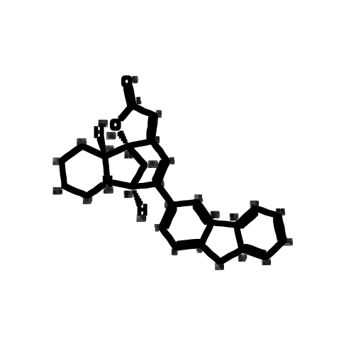 O=C1C=C2C=C(c3ccc4c(c3)-c3ccccc3C4)[C@@H]3C[C@@]2(O1)[C@H]1CCCCN31